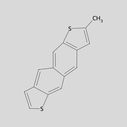 Cc1cc2cc3cc4sccc4cc3cc2s1